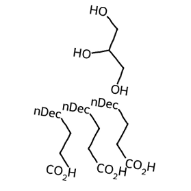 CCCCCCCCCCCCC(=O)O.CCCCCCCCCCCCC(=O)O.CCCCCCCCCCCCC(=O)O.OCC(O)CO